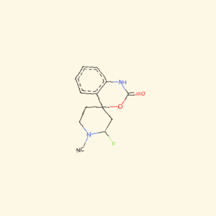 N#CN1CCC2(CC1F)OC(=O)Nc1ccccc12